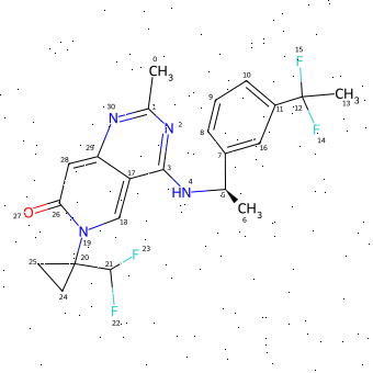 Cc1nc(N[C@H](C)c2cccc(C(C)(F)F)c2)c2cn(C3(C(F)F)CC3)c(=O)cc2n1